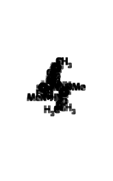 CNC(=O)c1c(F)cccc1Nc1nc(Nc2cc(NC(=O)CN(C)C)ccc2OC)nc2c1ccn2S(=O)(=O)c1ccc(C)cc1